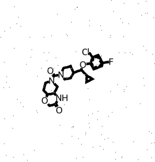 O=C1COC2CCN(C(=O)N3CCC(C(Oc4ccc(F)cc4Cl)C4CC4)CC3)CC2N1